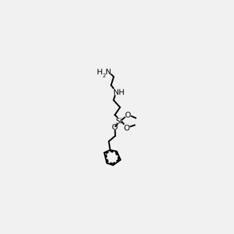 CO[Si](CCCNCCN)(OC)OCCc1ccccc1